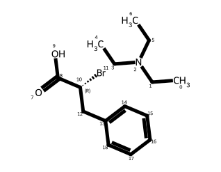 CCN(CC)CC.O=C(O)[C@H](Br)Cc1ccccc1